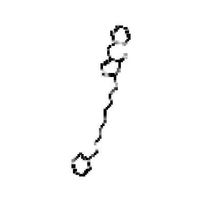 O=c1[nH]c(SCCCCCCCCc2ccccc2)ncc1Cc1ccccn1